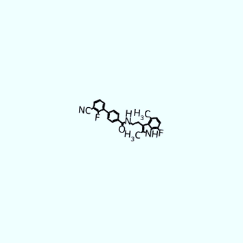 Cc1[nH]c2c(F)ccc(C)c2c1CCNC(=O)c1ccc(-c2cccc(C#N)c2F)cc1